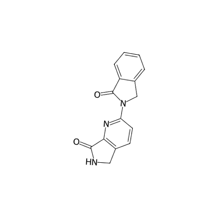 O=C1NCc2ccc(N3Cc4ccccc4C3=O)nc21